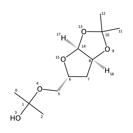 CC(C)(O)OC[C@H]1C[C@@H]2OC(C)(C)O[C@@H]2O1